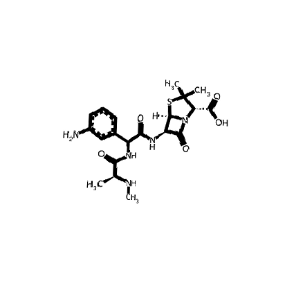 CN[C@@H](C)C(=O)NC(C(=O)N[C@@H]1C(=O)N2[C@@H]1SC(C)(C)[C@@H]2C(=O)O)c1cccc(N)c1